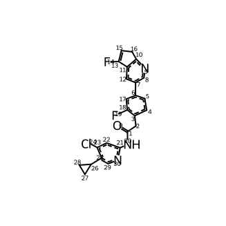 O=C(Cc1ccc(-c2cnc3c(c2)C(F)=CC3)cc1F)Nc1cc(Cl)c(C2CC2)cn1